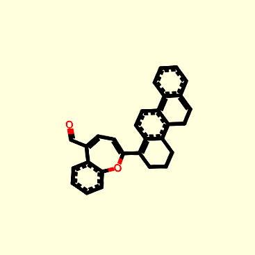 O=CC1=CC=C(C2=c3ccc4c(c3CCC2)CC=c2ccccc2=4)Oc2ccccc21